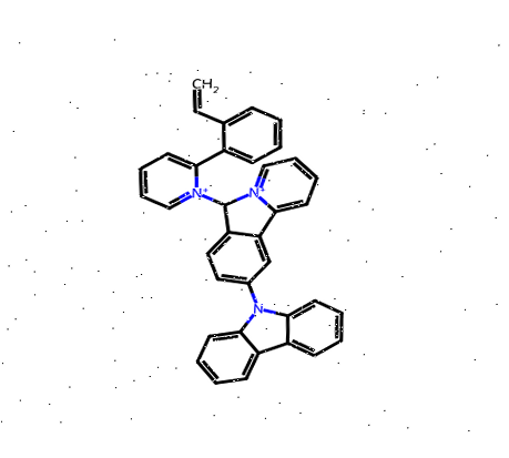 C=Cc1ccccc1-c1cccc[n+]1C1c2ccc(-n3c4ccccc4c4ccccc43)cc2-c2cccc[n+]21